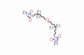 CCN1CC(=O)N(CCCCC(CC)(CC)CCCCOCCCCC(CC)(CC)CCN2C(=O)CN(CC)C2=O)C1=O